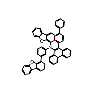 c1ccc(-c2ccc(-c3c(N(c4cccc(-c5cccc6c5oc5ccccc56)c4)c4cccc5c4oc4ccccc45)c4ccccc4c4ccccc34)cc2)cc1